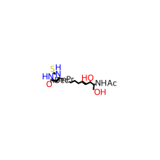 CCCCCCCCCCCCC/C=C/C(O)C(CO)NC(C)=O.CCCc1cc(=O)[nH]c(=S)[nH]1